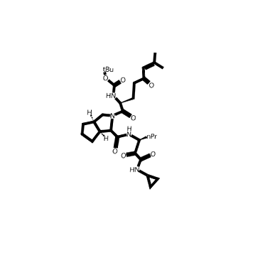 CCC[C@H](NC(=O)C1[C@H]2CCC[C@H]2CN1C(=O)[C@H](CCC(=O)C=C(C)C)NC(=O)OC(C)(C)C)C(=O)C(=O)NC1CC1